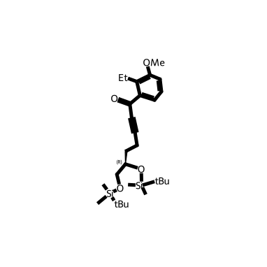 CCc1c(OC)cccc1C(=O)C#CCC[C@H](CO[Si](C)(C)C(C)(C)C)O[Si](C)(C)C(C)(C)C